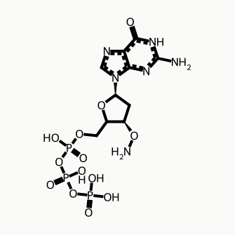 NO[C@@H]1C[C@H](n2cnc3c(=O)[nH]c(N)nc32)OC1COP(=O)(O)OP(=O)(O)OP(=O)(O)O